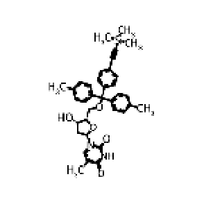 Cc1ccc(C(OC[C@H]2O[C@@H](n3cc(C)c(=O)[nH]c3=O)C[C@@H]2O)(c2ccc(C)cc2)c2ccc(C#C[Si](C)(C)C)cc2)cc1